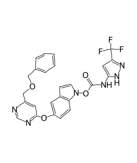 O=C(Nc1cc(C(F)(F)F)n[nH]1)On1ccc2cc(Oc3cc(COCc4ccccc4)ncn3)ccc21